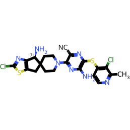 Cc1nccc(Sc2nc(C#N)c(N3CCC4(CC3)Cc3sc(Cl)nc3[C@H]4N)nc2N)c1Cl